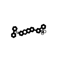 O=S1(=O)c2ccccc2-c2cc(-c3ccc4cc5c(cc4c3)Cc3ccc(-n4c6ccccc6c6ccccc64)cc3C5)ccc21